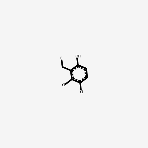 Oc1ccc(Cl)c(Cl)c1CF